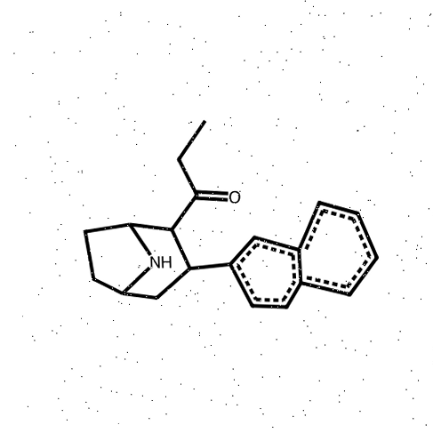 CCC(=O)C1C2CCC(CC1c1ccc3ccccc3c1)N2